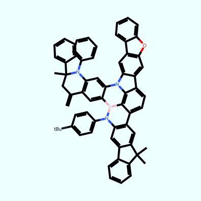 C=C1CC(C)(c2ccccc2)N(c2ccccc2)c2cc3c(cc21)B1c2c(ccc4c5cc6oc7ccccc7c6cc5n-3c24)-c2cc3c(cc2N1c1ccc(C(C)(C)C)cc1)-c1ccccc1C3(C)C